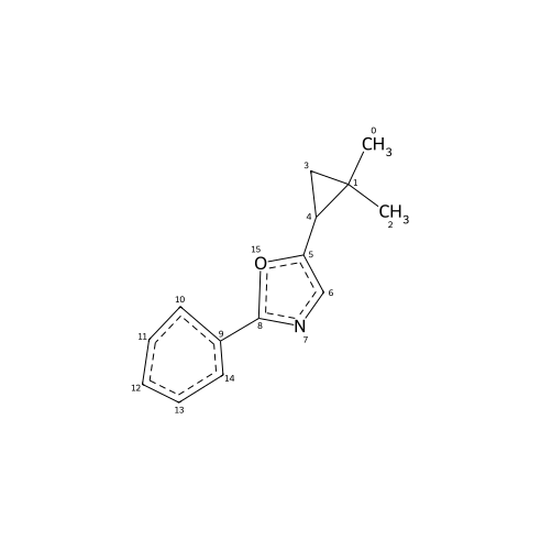 CC1(C)CC1c1cnc(-c2ccccc2)o1